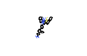 N#Cc1ccc(-c2ccc(-c3ccc(-c4cc5c6ccc7ccccc7c6sc5c5nc6c7ccccc7ccc6n45)cc3)c3ccccc23)cc1